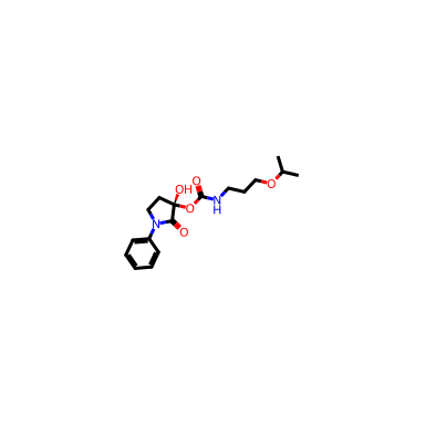 CC(C)OCCCNC(=O)O[C@@]1(O)CCN(c2ccccc2)C1=O